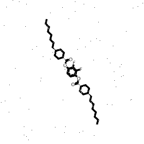 CCCCCCCC[C@H]1CC[C@H](C(=O)Oc2ccc(OC(=O)[C@H]3CC[C@H](CCCCCCCC)CC3)c(F)c2F)CC1